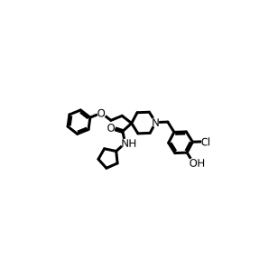 O=C(NC1CCCC1)C1(CCOc2ccccc2)CCN(Cc2ccc(O)c(Cl)c2)CC1